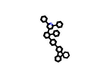 c1ccc(-c2cc(-c3cccc(-c4ccc(-c5ccc6c(c5)-c5ccccc5C65CCCCC5)cc4)c3-c3ccccc3)cc(-c3ccccc3)n2)cc1